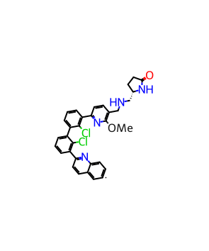 COc1nc(-c2cccc(-c3cccc(-c4ccc5c[c]ccc5n4)c3Cl)c2Cl)ccc1CNC[C@@H]1CCC(=O)N1